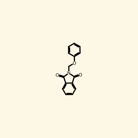 O=C1c2ccccc2C(=O)N1COc1ccccc1